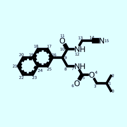 CC(C)COC(=O)NCC(C(=O)NCC#N)c1ccc2ccccc2c1